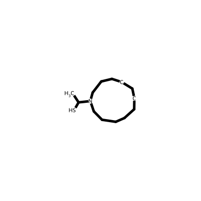 CC(S)N1CCCCCCCCCCC1